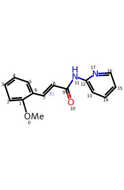 COc1ccccc1/C=C/C(=O)Nc1ccccn1